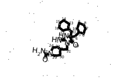 N=C1NC(CC2CCCCC2)(CC2CCCCC2)C(=O)N1CC1CCN(C(N)=O)CC1